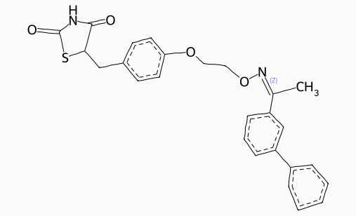 C/C(=N/OCCOc1ccc(CC2SC(=O)NC2=O)cc1)c1cccc(-c2ccccc2)c1